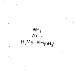 [AlH3].[BiH3].[MgH2].[SnH2].[Zn]